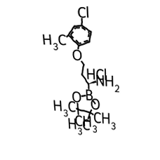 Cc1cc(Cl)ccc1OCC[C@@H](N)B1OC(C)(C)C(C)(C)O1.Cl